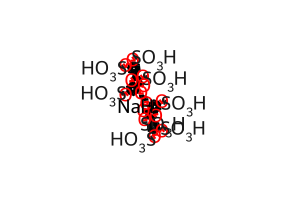 O=c1c(OS(=O)(=O)O)c(-c2ccc(OS(=O)(=O)O)c(OS(=O)(=O)O)c2)oc2cc(OS(=O)(=O)O)cc(OCCOc3cc(OS(=O)(=O)O)cc4oc(-c5ccc(OS(=O)(=O)O)c(OS(=O)(=O)O)c5)c(OS(=O)(=O)O)c(=O)c34)c12.[NaH]